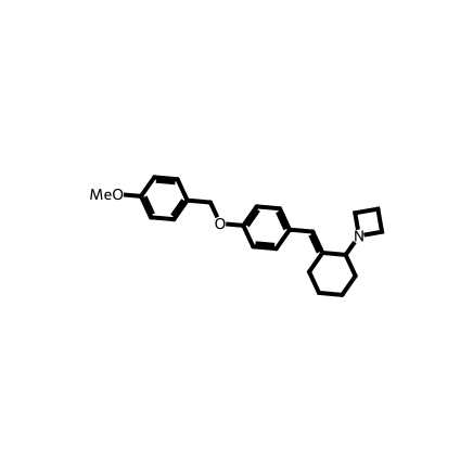 COc1ccc(COc2ccc(/C=C3\CCCCC3N3CCC3)cc2)cc1